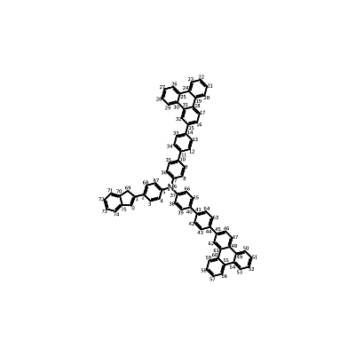 C1=C(c2ccc(N(c3ccc(-c4ccc(-c5ccc6c7ccccc7c7ccccc7c6c5)cc4)cc3)c3ccc(-c4ccc(-c5ccc6c7ccccc7c7ccccc7c6c5)cc4)cc3)cc2)Cc2ccccc21